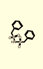 O=S(=O)(Cc1ccccc1)NS(=O)(=O)Cc1ccccc1